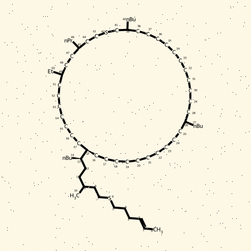 CC=CCCCSCCC(C)CC[C@@H](CCCC)[C@@H]1CCCCCCCCCCC(CCCC)CCCCCCCCCCCC(CCCC)CSCCC(CCC)CCC(CC)CCCCCCC1